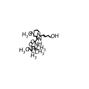 CNC(=O)C(NC(=O)c1nc(C=CCCO)n2c1CN(C)CCC2)C(C)(C)C